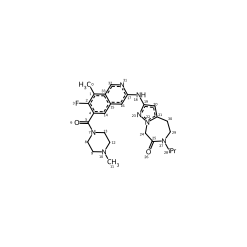 Cc1c(F)c(C(=O)N2CCN(C)CC2)cc2cc(Nc3cc4n(n3)CC(=O)N(C(C)C)CC4)ncc12